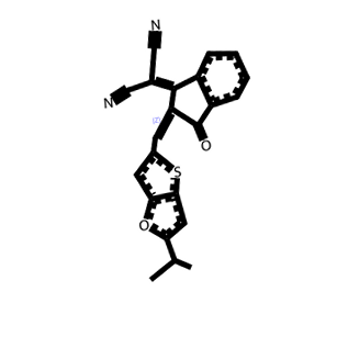 CC(C)c1cc2sc(/C=C3\C(=O)c4ccccc4C3=C(C#N)C#N)cc2o1